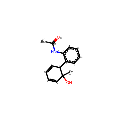 CCC1(O)C=CC=CC1c1ccccc1NC(=O)C(C)(C)C